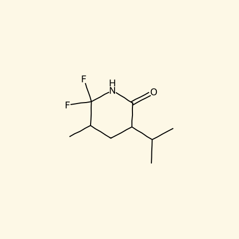 CC(C)C1CC(C)C(F)(F)NC1=O